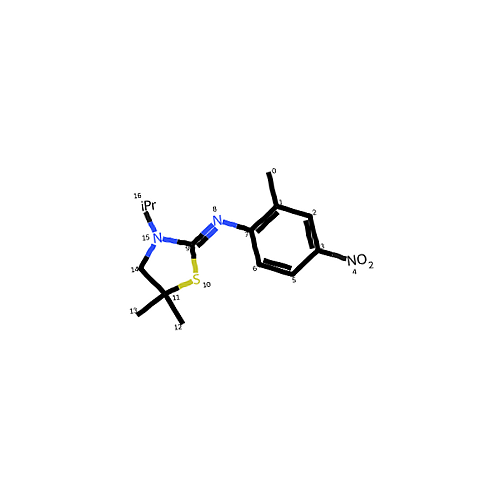 Cc1cc([N+](=O)[O-])ccc1N=C1SC(C)(C)CN1C(C)C